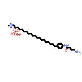 C[N+](C)(C)CC(CCCCCCCCCCCCCCCCCCc1ccc(NC(=O)CCCN)cc1)OP(=O)(O)O